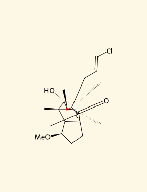 CO[C@@H]1CCC23CC[C@@H](C)[C@](C)(C12)[C@H](O)C[C@@](C)(CC=CCl)C(=O)[C@@H]3C